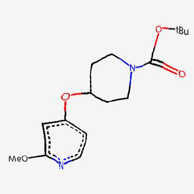 COc1cc(OC2CCN(C(=O)OC(C)(C)C)CC2)ccn1